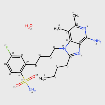 CCCCc1nc2c(N)nc(C)c(C)c2n1CCCCc1cc(F)ccc1S(N)(=O)=O.O